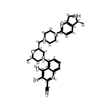 [2H]c1c(C#N)nc2cccc(N3C[C@H](CN4CCN(c5ccc6c(n5)CN[C@H]6C)CC4)O[C@H](C)C3)c2c1[2H]